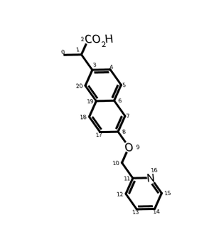 CC(C(=O)O)c1ccc2cc(OCc3ccccn3)ccc2c1